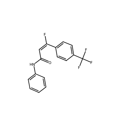 O=C(/C=C(/F)c1ccc(C(F)(F)F)cc1)Nc1ccccc1